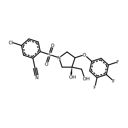 N#Cc1cc(Cl)ccc1S(=O)(=O)N1CC(Oc2cc(F)c(F)c(F)c2)[C@](O)(CO)C1